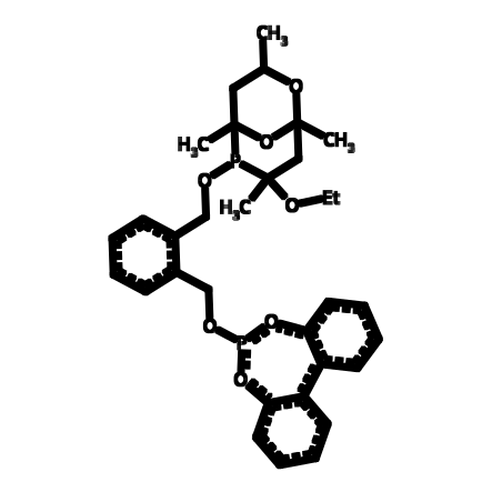 CCOC1(C)CC2(C)OC(C)CC(C)(O2)P1OCc1ccccc1COp1oc2ccccc2c2ccccc2o1